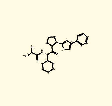 CN[C@@H](C)C(=O)N[C@H](C(=O)N1CCC[C@H]1c1nc(-c2ccccc2)cs1)C1CCCCC1